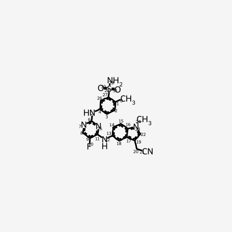 Cc1ccc(Nc2ncc(F)c(Nc3ccc4c(c3)c(CC#N)cn4C)n2)cc1S(N)(=O)=O